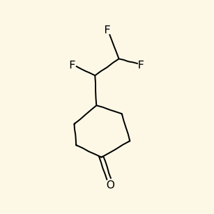 O=C1CCC(C(F)C(F)F)CC1